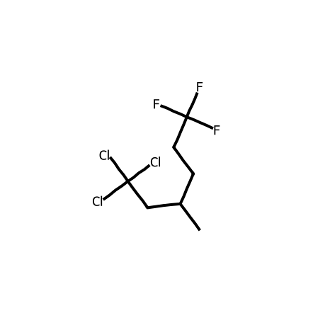 CC(CCC(F)(F)F)CC(Cl)(Cl)Cl